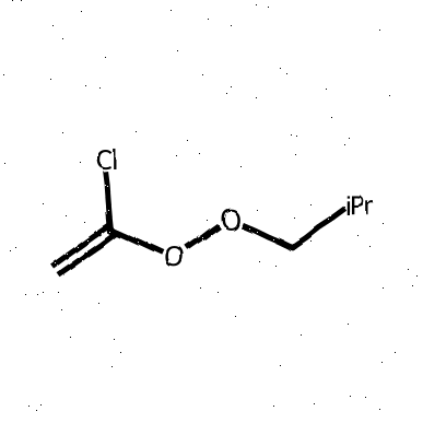 C=C(Cl)OOCC(C)C